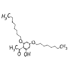 CCCCCCCCOc1cc(O)c(C(C)=O)c(OCCCCCCCC)c1